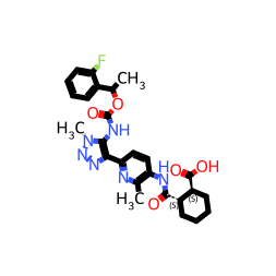 Cc1nc(-c2nnn(C)c2NC(=O)OC(C)c2ccccc2F)ccc1NC(=O)[C@H]1CCCC[C@@H]1C(=O)O